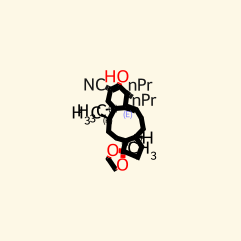 CCCC1(CCC)C(O)=C(C#N)C[C@@]2(C)/C1=C\CC[C@@H]1CCC3(OCCO3)[C@@]1(C)CC[C@H]2C